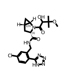 COC(C)(C)C(O)C(=O)N1[C@H](C(=O)NCc2cc(Cl)ccc2-c2nnn[nH]2)C[C@@H]2C[C@@H]21